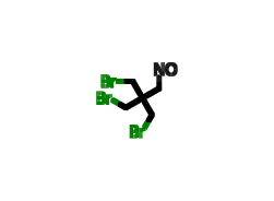 O=NCC(CBr)(CBr)CBr